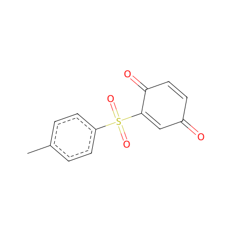 Cc1ccc(S(=O)(=O)C2=CC(=O)C=CC2=O)cc1